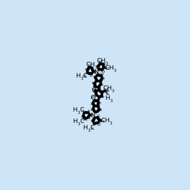 Cc1cc(C)cc(N(c2cc(C)cc(C)c2)c2ccc3cc4c(cc3c2)oc2c4cc(C(C)C)c3c4cc5ccc(N(c6cc(C)cc(C)c6)c6cc(C)cc(C)c6)cc5cc4oc23)c1